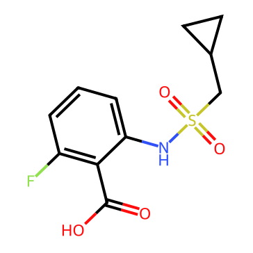 O=C(O)c1c(F)cccc1NS(=O)(=O)CC1CC1